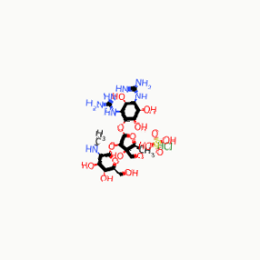 CN[C@@H]1[C@H](O[C@H]2[C@H](O[C@H]3[C@H](O)[C@@H](O)[C@H](NC(=N)N)[C@@H](O)[C@@H]3NC(=N)N)O[C@@H](C)[C@]2(O)C=O)O[C@@H](CO)[C@H](O)[C@H]1O.Cl.O=S(=O)(O)O